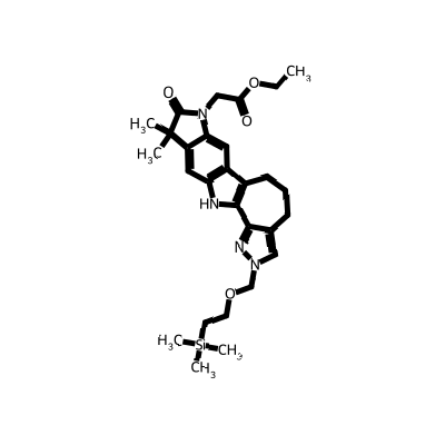 CCOC(=O)CN1C(=O)C(C)(C)c2cc3[nH]c4c(c3cc21)CCCc1cn(COCC[Si](C)(C)C)nc1-4